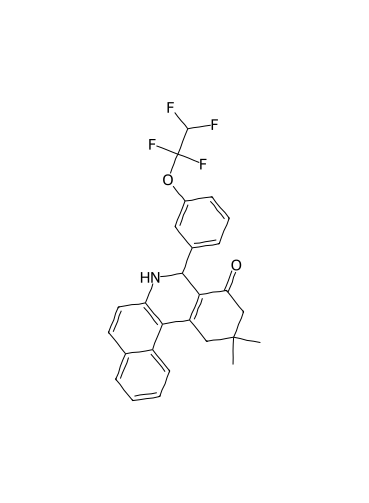 CC1(C)CC(=O)C2=C(C1)c1c(ccc3ccccc13)NC2c1cccc(OC(F)(F)C(F)F)c1